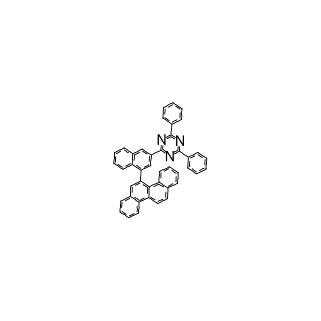 c1ccc(-c2nc(-c3ccccc3)nc(-c3cc(-c4cc5ccccc5c5ccc6ccccc6c45)c4ccccc4c3)n2)cc1